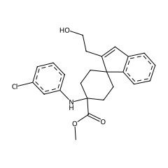 COC(=O)C1(Nc2cccc(Cl)c2)CCC2(CC1)C(CCO)=Cc1ccccc12